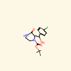 CC(C)(C)OC(=O)N1CCNC(=O)C1C(O)c1ccc(F)cc1